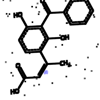 C/C(=C/C(=O)O)c1ccc(O)c(C(=O)c2ccccc2)c1O